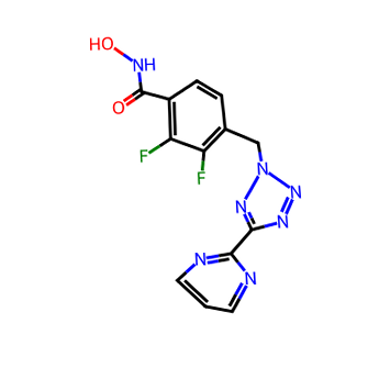 O=C(NO)c1ccc(Cn2nnc(-c3ncccn3)n2)c(F)c1F